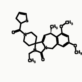 CCN1C(=O)N2Cc3cc(OC)cc(OC)c3[C@@H](C)C=C2C12CCN(C(=O)C1CC=CS1)CC2